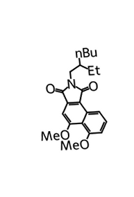 CCCCC(CC)CN1C(=O)c2cc(OC)c3c(OC)cccc3c2C1=O